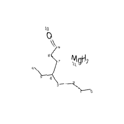 CCCCC(CC)CCC=O.[MgH2]